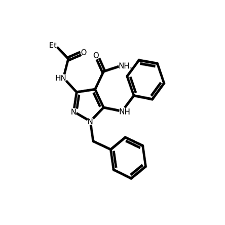 CCC(=O)Nc1nn(Cc2ccccc2)c(Nc2ccccc2)c1C(N)=O